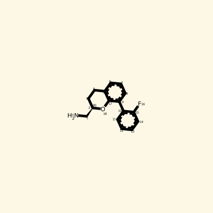 NC[C@H]1CCc2cccc(-c3ccccc3F)c2O1